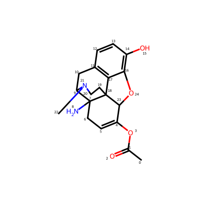 CC(=O)OC1=CCC2(N)C3Cc4ccc(O)c5c4C2(CCN3C)C1O5